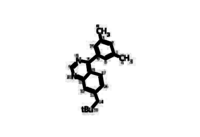 Cc1cc(C)cc(-c2ncnc3cc(CC(C)(C)C)ccc23)c1